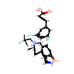 C[C@@H]1Cc2c(ccc3oncc23)[C@@H](c2c(F)cc(/C=C/C(=O)O)cc2F)N1CC(C)(C)F